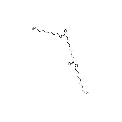 CC(C)CCCCCCCOC(=O)CCCCCCCC(=O)OCCCCCCC(C)C